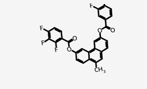 Cc1cc2ccc(OC(=O)c3ccc(F)c(F)c3)cc2c2cc(OC(=O)c3ccc(F)c(F)c3F)ccc12